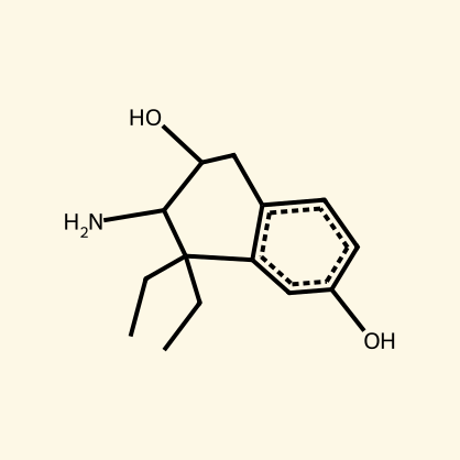 CCC1(CC)c2cc(O)ccc2CC(O)C1N